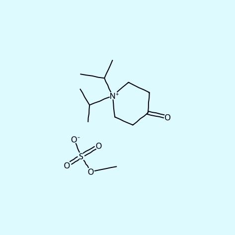 CC(C)[N+]1(C(C)C)CCC(=O)CC1.COS(=O)(=O)[O-]